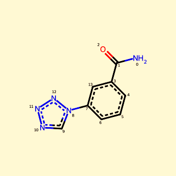 NC(=O)c1cccc(-n2cnnn2)c1